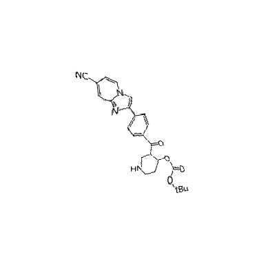 CC(C)(C)OC(=O)OC1CCNCC1C(=O)c1ccc(-c2cn3ccc(C#N)cc3n2)cc1